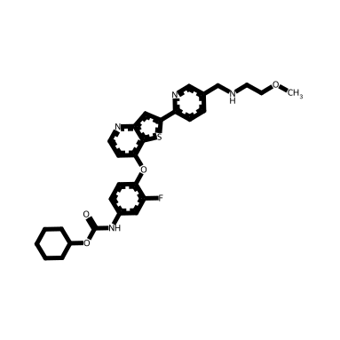 COCCNCc1ccc(-c2cc3nccc(Oc4ccc(NC(=O)OC5CCCCC5)cc4F)c3s2)nc1